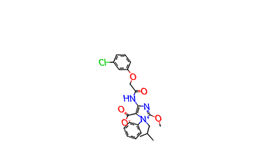 COC1=NC(NC(=O)COc2cccc(Cl)c2)=C(C(=O)[O-])[N+]1(CC(C)C)c1ccccc1